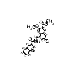 COC(=O)c1cc2cc(Cl)cc(CNC(=O)c3cnc4ccccc4c3)c2nc1OC